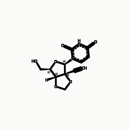 C#C[C@@]12OCO[C@@H]1[C@@H](CO)O[C@H]2n1ccc(=O)[nH]c1=O